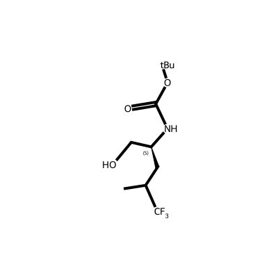 CC(C[C@@H](CO)NC(=O)OC(C)(C)C)C(F)(F)F